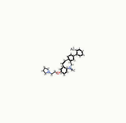 CC(=O)c1ccccc1-c1ccc2c(c1)CN(C(C)=O)c1ccc(OCCN3CCCC3)cc1C=C2